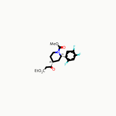 CCOC(=O)CC(=O)[C@@H]1CCN(C(=O)OC)[C@H](c2cc(F)c(F)cc2F)C1